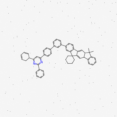 CC1(C)c2ccccc2C2C=C3C(=CC21)c1ccc(-c2cccc(-c4ccc(-c5cc(C6C=CC=CC6)nc(-c6ccccc6)n5)cc4)c2)cc1C31CCCCC1